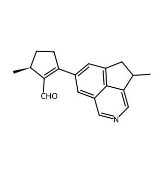 CC1Cc2cc(C3=C(C=O)[C@@H](C)CC3)cc3cncc1c23